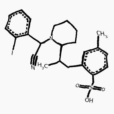 Cc1ccc(S(=O)(=O)O)c(CC(C)C2CCCCN2C(C#N)c2ccccc2I)c1